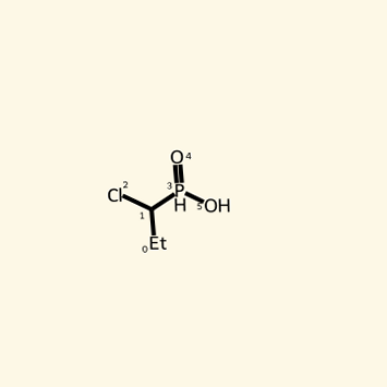 CCC(Cl)[PH](=O)O